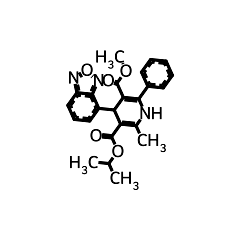 COC(=O)C1=C(c2ccccc2)NC(C)=C(C(=O)OC(C)C)C1c1cccc2nonc12